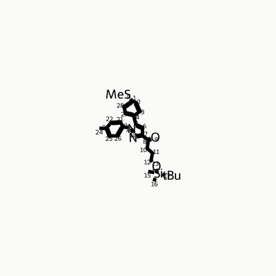 CSc1ccc(-c2cc(C(=O)CCCO[Si](C)(C)C(C)(C)C)nn2-c2ccc(C)cc2)cc1